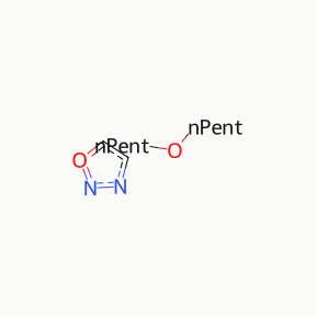 CCCCCOCCCCC.c1conn1